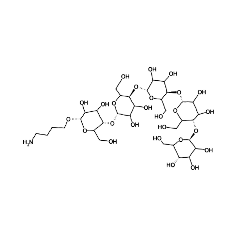 NCCCCO[C@H]1OC(CO)[C@@H](O[C@@H]2OC(CO)[C@@H](O[C@H]3OC(CO)[C@H](O[C@H]4OC(CO)[C@@H](O[C@@H]5OC(CO)[C@@H](O)C(O)C5O)C(O)C4O)C(O)C3O)C(O)C2O)C(O)C1O